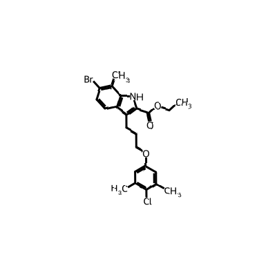 CCOC(=O)c1[nH]c2c(C)c(Br)ccc2c1CCCOc1cc(C)c(Cl)c(C)c1